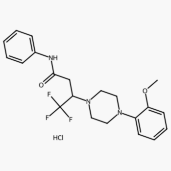 COc1ccccc1N1CCN(C(CC(=O)Nc2ccccc2)C(F)(F)F)CC1.Cl